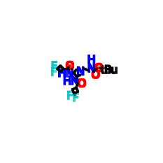 CC(C)(C)OC(=O)NCCN1C[C@@H](NC(=O)C2CC(F)(F)C2)[C@H](NC(=O)C2CC(F)(F)C2)C1